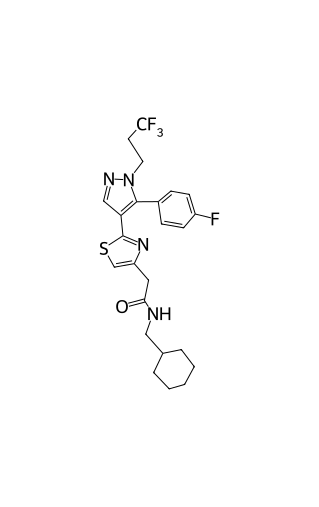 O=C(Cc1csc(-c2cnn(CCC(F)(F)F)c2-c2ccc(F)cc2)n1)NCC1CCCCC1